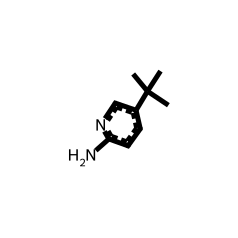 CC(C)(C)c1ccc(N)nc1